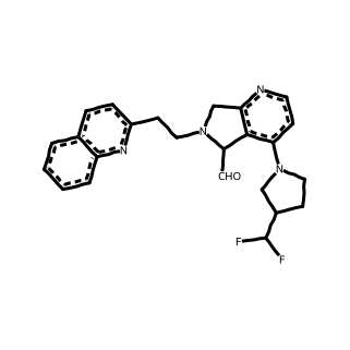 O=CC1c2c(N3CCC(C(F)F)C3)ccnc2CN1CCc1ccc2ccccc2n1